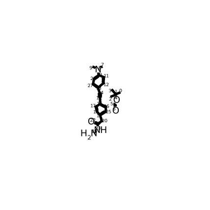 CC(C)(C)OC=O.CN(C)c1ccc(C#Cc2ccc(CC(=O)NN)cc2)cc1